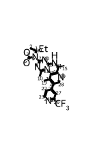 CC[C@H]1COC(=O)N1c1nc(C)nc(N[C@@H](C)c2cc(C)c(-c3ccnc(C(F)(F)F)c3)cn2)n1